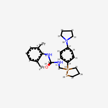 CC(C)c1cccc(C(C)C)c1NC(=O)NCS1(c2ccc(N3CCCC3)cc2)CCCS1